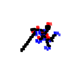 C#CCC(NC(=O)CCCCCCCCCCCCCCC)C(=O)NCC(=O)N[C@@H](Cc1ccc(O)cc1)C(=O)N[C@@H](CCC(N)=O)C(=O)N[C@@H](CCCCN)C(=O)N[C@H](C)CCCCN